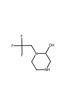 OC1CNCCN1CC(F)(F)F